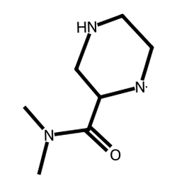 CN(C)C(=O)C1CNCC[N]1